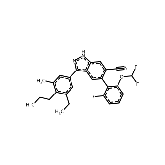 CCCc1c(C)cc(-c2n[nH]c3cc(C#N)c(-c4c(F)cccc4OC(F)F)cc23)cc1CC